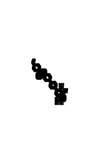 C=CC1CCC(C(=O)OC2CCC(c3ccc(-c4ccc(OCC)c(F)c4F)cc3)CC2)CC1